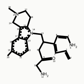 C=C/C=C(\C=C/N)C(CC(=O)CN)Cn1c2c(c3cc(C)ccc31)CN(C)CC2